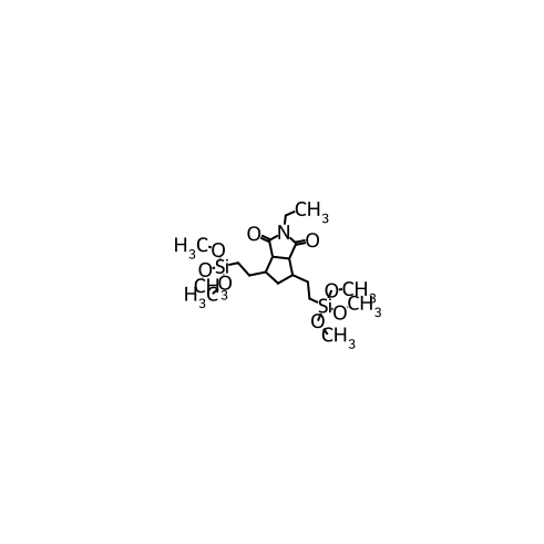 CCN1C(=O)C2C(CC[Si](OC)(OC)OC)CC(CC[Si](OC)(OC)OC)C2C1=O